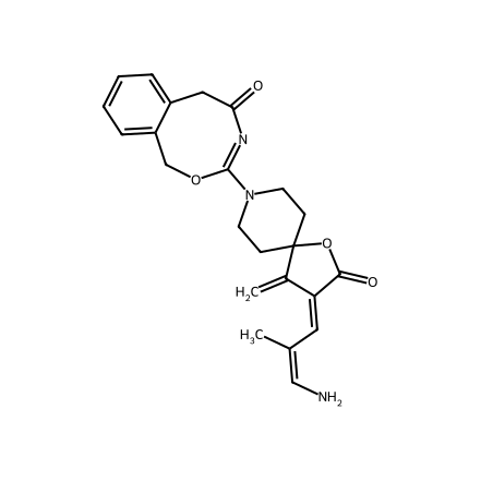 C=C1/C(=C\C(C)=C/N)C(=O)OC12CCN(/C1=N/C(=O)Cc3ccccc3CO1)CC2